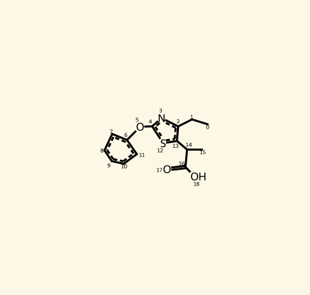 CCc1nc(Oc2ccccc2)sc1C(C)C(=O)O